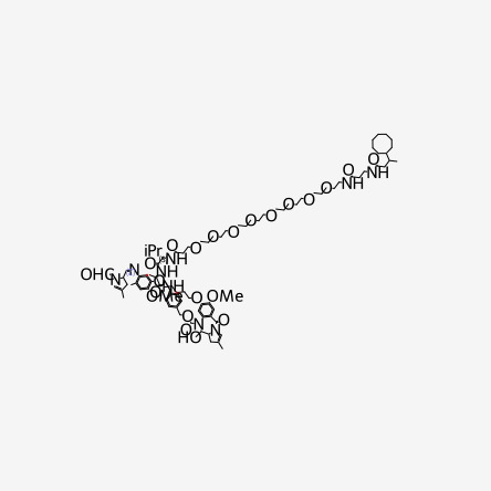 COc1cc(C)c(/N=C\C2CC(C)=CN2C=O)cc1OCCCCCOc1cc2c(cc1OC)C(=O)N1C=C(C)CC1C(O)N2C(=O)OCc1ccc(NC(=O)C(C)NC(=O)[C@@H](NC(=O)CCOCCOCCOCCOCCOCCOCCOCCOCCNC(=O)CCNC(=O)CC(C)C2CCCCCCC2)C(C)C)cc1